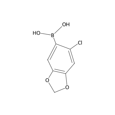 OB(O)c1cc2c(cc1Cl)OCO2